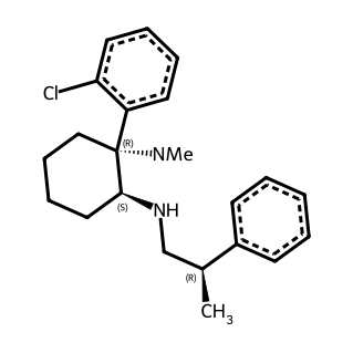 CN[C@@]1(c2ccccc2Cl)CCCC[C@@H]1NC[C@H](C)c1ccccc1